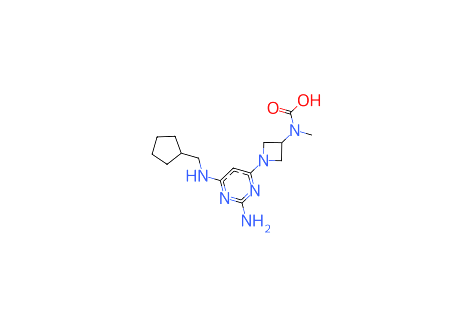 CN(C(=O)O)C1CN(c2cc(NCC3CCCC3)nc(N)n2)C1